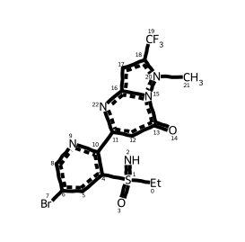 CCS(=N)(=O)c1cc(Br)cnc1-c1cc(=O)n2c(cc(C(F)(F)F)n2C)n1